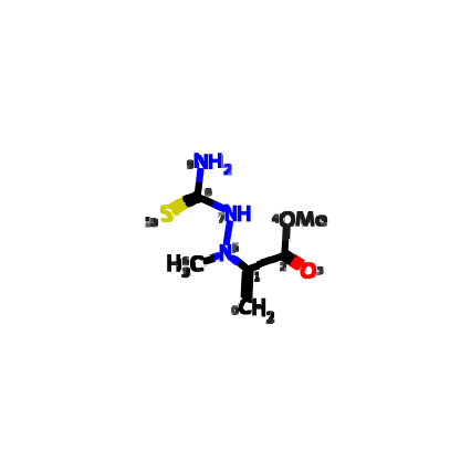 C=C(C(=O)OC)N(C)NC(N)=S